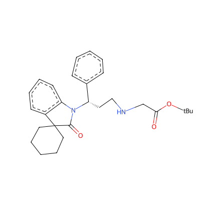 CC(C)(C)OC(=O)CNCC[C@@H](c1ccccc1)N1C(=O)C2(CCCCC2)c2ccccc21